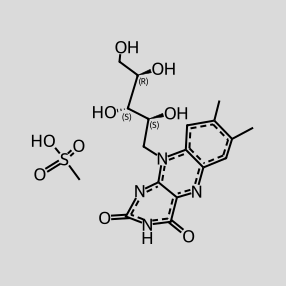 CS(=O)(=O)O.Cc1cc2nc3c(=O)[nH]c(=O)nc-3n(C[C@H](O)[C@H](O)[C@H](O)CO)c2cc1C